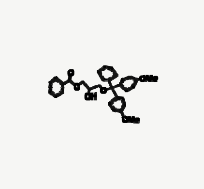 COc1ccc(C(OCC(O)COC(=O)c2ccccc2)(c2ccccc2)c2ccc(OC)cc2)cc1